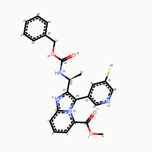 COC(=O)c1cccc2nc([C@H](C)NC(=O)OCc3ccccc3)c(-c3cncc(F)c3)n12